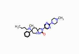 CCCCN(C)[C@]1(c2ccccc2)CC[C@]2(CC1)CN(c1cnc(N3CCN(C)CC3)nc1)C(=O)N2